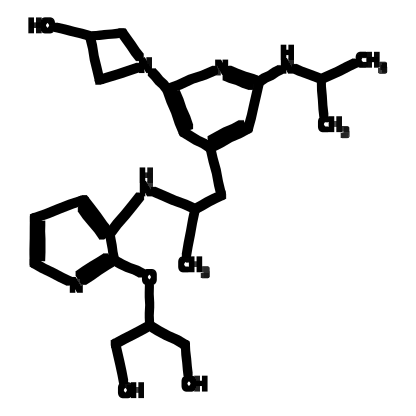 CC(C)Nc1cc(CC(C)Nc2cccnc2OC(CO)CO)cc(N2CC(O)C2)n1